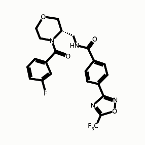 O=C(NC[C@H]1COCCN1C(=O)c1cccc(F)c1)c1ccc(-c2noc(C(F)(F)F)n2)cc1